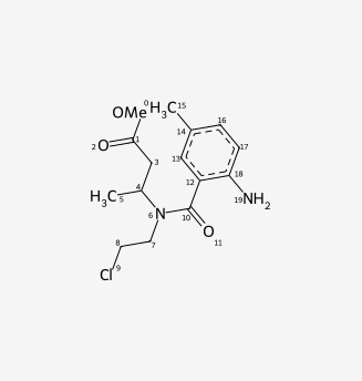 COC(=O)CC(C)N(CCCl)C(=O)c1cc(C)ccc1N